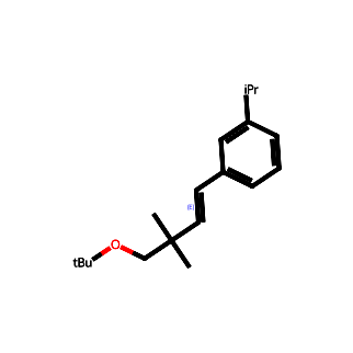 CC(C)c1cccc(/C=C/C(C)(C)COC(C)(C)C)c1